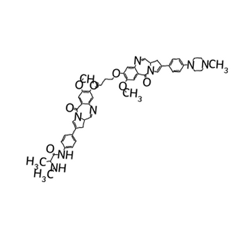 CNC(C)C(=O)Nc1ccc(C2=CN3C(=O)c4cc(OC)c(OCCCOc5cc6c(cc5OC)C(=O)N5C=C(c7ccc(N8CCN(C)CC8)cc7)CC5C=N6)cc4N=CC3C2)cc1